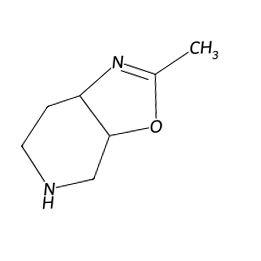 CC1=NC2CCNCC2O1